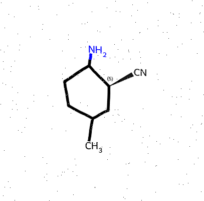 CC1CCC(N)[C@@H](C#N)C1